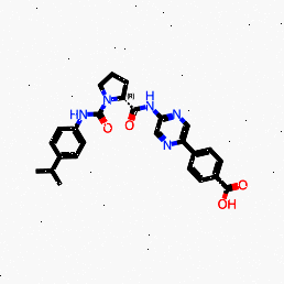 CC(C)c1ccc(NC(=O)N2CCC[C@@H]2C(=O)Nc2cnc(-c3ccc(C(=O)O)cc3)cn2)cc1